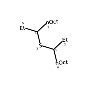 CCCCCCCCC(CC)SC(CC)CCCCCCCC